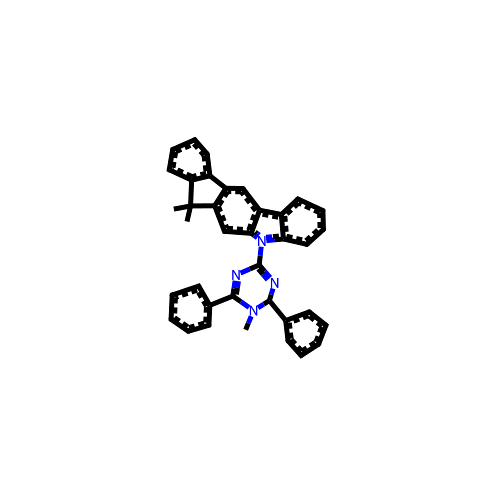 CN1C(c2ccccc2)=NC(n2c3ccccc3c3cc4c(cc32)C(C)(C)c2ccccc2-4)=NC1c1ccccc1